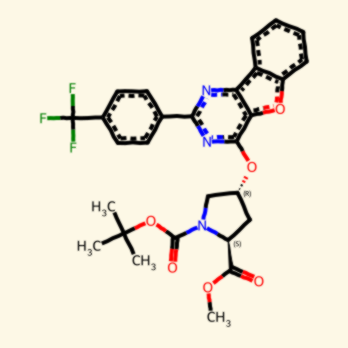 COC(=O)[C@@H]1C[C@@H](Oc2nc(-c3ccc(C(F)(F)F)cc3)nc3c2oc2ccccc23)CN1C(=O)OC(C)(C)C